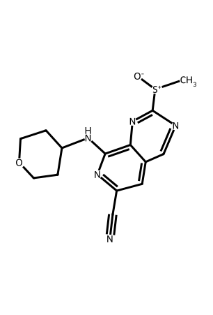 C[S+]([O-])c1ncc2cc(C#N)nc(NC3CCOCC3)c2n1